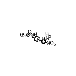 CC(C)(C)OC(=O)NCC1CCN(c2ccc([N+](=O)[O-])c(N)n2)CC1